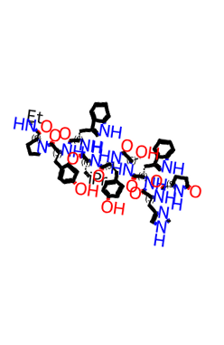 CCNC(=O)[C@@H]1CCCN1C(=O)[C@H](Cc1ccc(O)cc1)NC(=O)[C@H](Cc1c[nH]c2ccccc12)NC(=O)[C@@H](CC(C)C)NC(=O)[C@H](Cc1ccc(O)cc1)NC(=O)[C@H](CO)NC(=O)[C@H](Cc1c[nH]c2ccccc12)NC(=O)[C@H](Cc1c[nH]cn1)NC(=O)[C@@H]1CCC(=O)N1